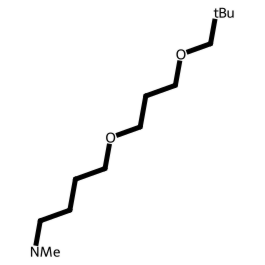 CNCCCCOCCCOCC(C)(C)C